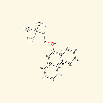 CC(C)(C)CCOc1cc2ccccc2c2ccccc12